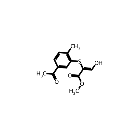 COC(=O)/C(=C/O)Sc1cc(C(C)=O)ccc1C